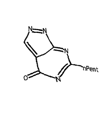 CCCCCC1=NC(=O)C2=CN=NC2=N1